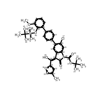 COc1cccc(-c2ccc(-c3cc4c(cc3Cl)N(C(=O)OC(C)(C)C)C(=O)/C4=C(/O)c3cc(C)no3)cc2)c1O[Si](C)(C)C(C)(C)C